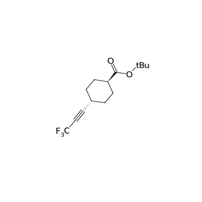 CC(C)(C)OC(=O)[C@H]1CC[C@H](C#CC(F)(F)F)CC1